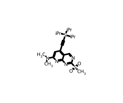 CC(C)[Si](C#Cc1cc(N(C)C)nc2nc(S(C)(=O)=O)ncc12)(C(C)C)C(C)C